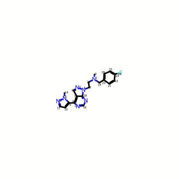 CN(CCn1ncc2c(-c3ccnn3C)ncnc21)Cc1ccc(F)cc1